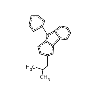 CC(C)Cc1ccc2c(c1)c1ccccc1n2-c1ccccc1